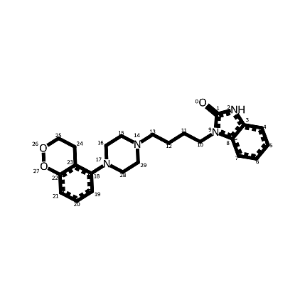 O=c1[nH]c2ccccc2n1CCCCN1CCN(c2cccc3c2CCOO3)CC1